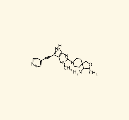 C[C@@H]1OCC2(CCN(C3=Nc4[nH]nc(C#Cc5ccncc5)c4CN3C)CC2)[C@@H]1N